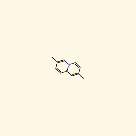 CC1=CB2C=CC(C)=CN2C=C1